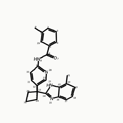 Cc1cccc(C(=O)Nc2ccc(C3(c4nc5cccc(C)c5[nH]4)CCC3)cn2)c1